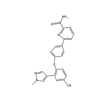 Cn1cc(-c2cc(C#N)ccc2Oc2ccc(-c3cccc(C(N)=O)n3)cc2)cn1